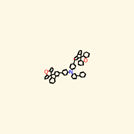 C1=CC2=C(CC1)C1(c3ccccc3O2)c2ccccc2-c2ccc(-c3ccc(N(c4ccc(-c5ccc6c(c5)-c5ccccc5C65c6ccccc6Oc6ccccc65)cc4)c4cccc(-c5ccccc5)c4)cc3)cc21